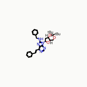 CC(C)(C)[Si]1(C(C)(C)C)OC[C@H]2O[C@@H](n3c(NCc4ccccc4)nc4c(/C=C/c5ccccc5)ncnc43)C[C@@H]2O1